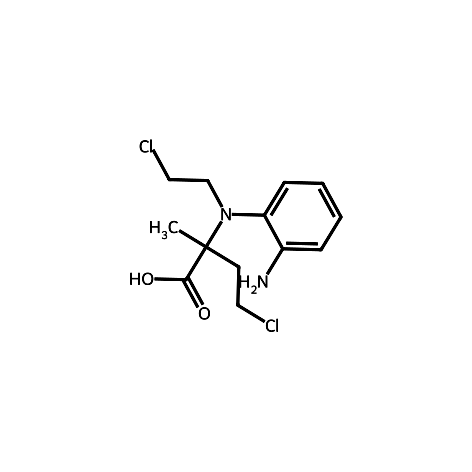 CC(CCCl)(C(=O)O)N(CCCl)c1ccccc1N